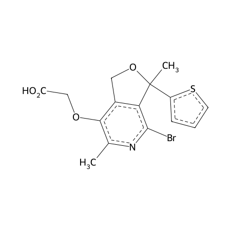 Cc1nc(Br)c2c(c1OCC(=O)O)COC2(C)c1cccs1